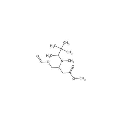 COC(=O)CC(COC=O)N(C)C(C)C(C)(C)C